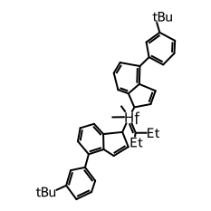 CC[C](CC)=[Hf]([CH3])([CH3])([CH]1C=Cc2c(-c3cccc(C(C)(C)C)c3)cccc21)[CH]1C=Cc2c(-c3cccc(C(C)(C)C)c3)cccc21